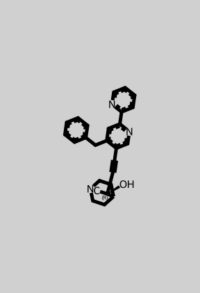 O[C@]1(C#Cc2cnc(-c3ccccn3)cc2Cc2ccccc2)CN2CCC1CC2